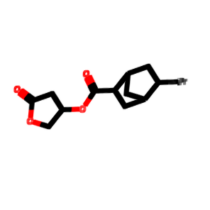 CC(C)C1CC2CC1CC2C(=O)OC1COC(=O)C1